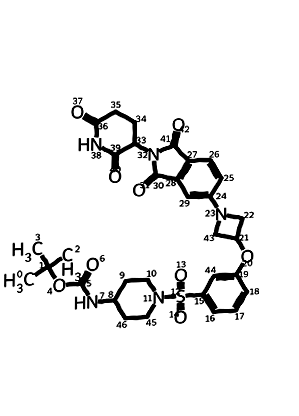 CC(C)(C)OC(=O)NC1CCN(S(=O)(=O)c2cccc(OC3CN(c4ccc5c(c4)C(=O)N(C4CCC(=O)NC4=O)C5=O)C3)c2)CC1